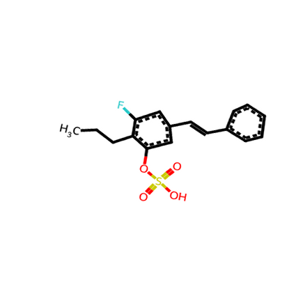 CCCc1c(F)cc(C=Cc2ccccc2)cc1OS(=O)(=O)O